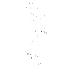 CC1=NC(c2ccc(C(=O)Nc3cccc(C4(C)CC(=O)N(C)C(N)=N4)c3)cc2)NO1